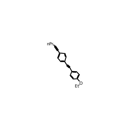 CCCC#Cc1ccc(C#Cc2ccc(OCC)cc2)cc1